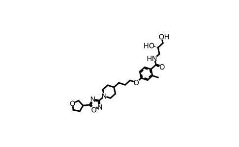 Cc1cc(OCCCC2CCN(c3noc(C4CCOC4)n3)CC2)ccc1C(=O)NC[C@H](O)CO